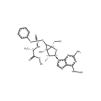 CCCNc1nc(N)nc2c1ncn2[C@@H]1O[C@]2(CCl)C(O[P@](=O)(N[C@@H](C)C(=O)OC(C)C)Oc3ccccc3)[C@]2(O)[C@H]1F